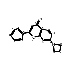 O=c1cc(-c2ccccc2)oc2cc(N3CCC3)ccc12